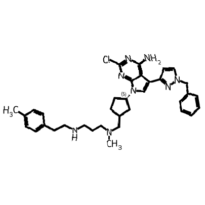 Cc1ccc(CCNCCCN(C)CC2CC[C@H](n3cc(-c4ccn(Cc5ccccc5)n4)c4c(N)nc(Cl)nc43)C2)cc1